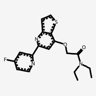 CCN(CC)C(=O)COc1cc(-c2cc(F)ccn2)nc2ccsc12